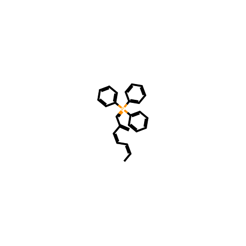 C=C(C=P(c1ccccc1)(c1ccccc1)c1ccccc1)/C=C\C=C/C